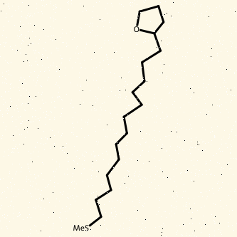 CSCCCCCCCCCCCCCC1CCCO1